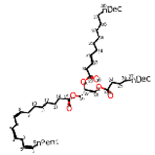 CCCCC/C=C\C/C=C\C/C=C\CCCCCCC(=O)OC[C@@H](COC(=O)CCCCCCCCCCCCC)OC(=O)CCCCCCCCCCCCCCCCCCC